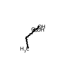 CCCCCCCC/C=C\CCCCCCCC(=O)OC[C@H](O)CO